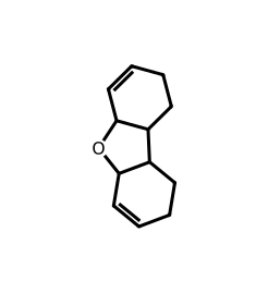 C1=CC2OC3C=CCCC3C2CC1